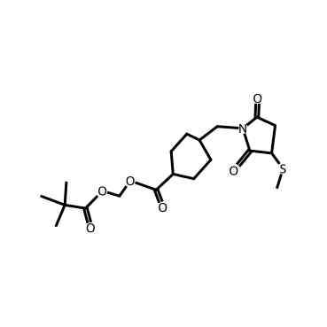 CSC1CC(=O)N(CC2CCC(C(=O)OCOC(=O)C(C)(C)C)CC2)C1=O